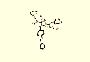 CCN(C(=O)C(Cc1ccc(OCc2ccccc2)cc1)NC(=O)C(Cc1ccncc1)NCCC(C)C)N1CCCCC1